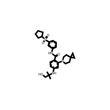 CC(C)(CO)Nc1ccc(C(=O)Nc2cccc(S(=O)(=O)C3CCCC3)c2)c(N2CCC3(CC2)CC3)c1